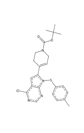 Cc1ccc(Sn2c(C3=CCN(C(=O)OC(C)(C)C)CC3)cc3c(Cl)ncnc32)cc1